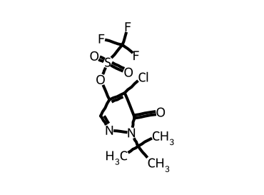 CC(C)(C)n1ncc(OS(=O)(=O)C(F)(F)F)c(Cl)c1=O